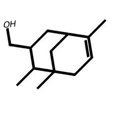 CC1=CCC2(C)CC1CC(CO)C2C